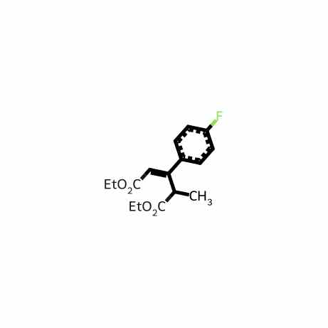 CCOC(=O)/C=C(/c1ccc(F)cc1)C(C)C(=O)OCC